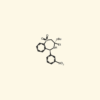 CCCC[C@@]1(CC)CS(=O)(=O)c2ccccc2[C@H](c2cccc([N+](=O)[O-])c2)N1